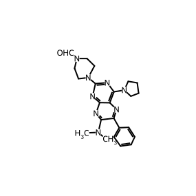 CN(C)c1nc2nc(N3CCN(C=O)CC3)nc(N3CCCC3)c2nc1-c1ccccc1